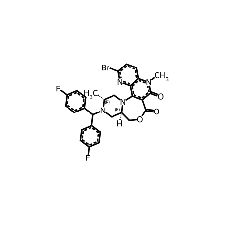 C[C@@H]1CN2c3c(c(=O)n(C)c4ccc(Br)nc34)C(=O)OC[C@H]2CN1C(c1ccc(F)cc1)c1ccc(F)cc1